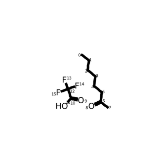 CCCCCCC(C)=O.O=C(O)C(F)(F)F